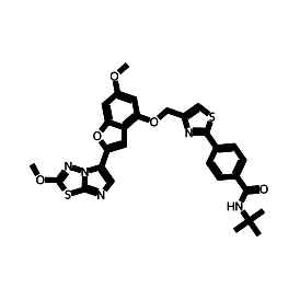 COc1cc(OCc2csc(-c3ccc(C(=O)NC(C)(C)C)cc3)n2)c2cc(-c3cnc4sc(OC)nn34)oc2c1